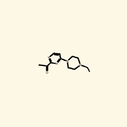 CCN1CCN(c2ccnc(C(C)=O)n2)CC1